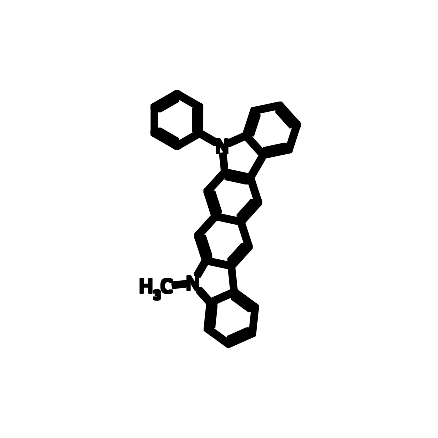 Cn1c2ccccc2c2cc3cc4c5ccccc5n(-c5ccccc5)c4cc3cc21